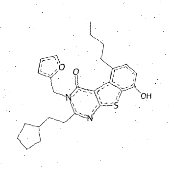 CCCCc1ccc(O)c2sc3nc(CCC4CCCC4)n(Cc4ccco4)c(=O)c3c12